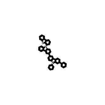 c1ccc(-c2ccc3c4cc(-c5ccc6c(c5)c5ccccc5n6-c5cccc6c5sc5ccccc56)ccc4n(-c4ccccc4)c3c2)cc1